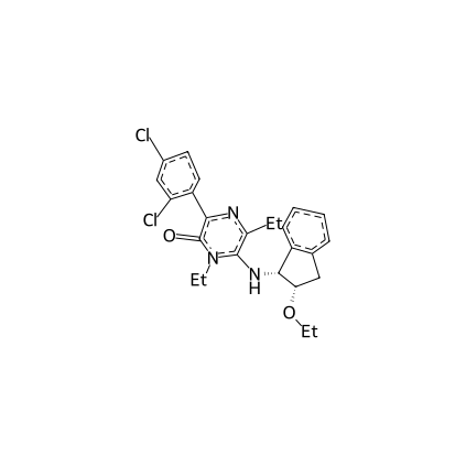 CCO[C@H]1Cc2ccccc2[C@H]1Nc1c(CC)nc(-c2ccc(Cl)cc2Cl)c(=O)n1CC